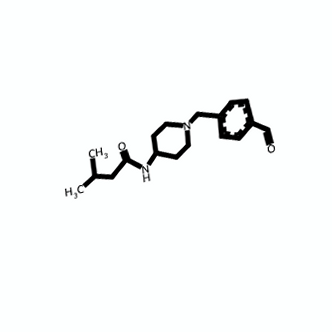 CC(C)CC(=O)NC1CCN(Cc2ccc(C=O)cc2)CC1